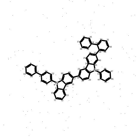 c1ccc(-c2ccc(-n3c4ccccc4c4cc(-c5ccc6c(c5)c5ccc(-c7ccccc7-c7ccccc7)cc5n6-c5ccccc5)ccc43)cc2)cc1